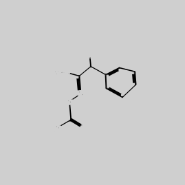 COC(=NNC(N)=S)C(C=O)c1ccccc1